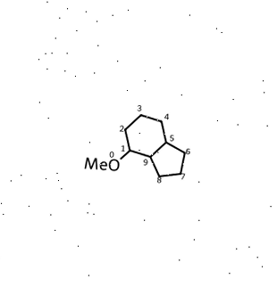 COC1CCCC2CCCC21